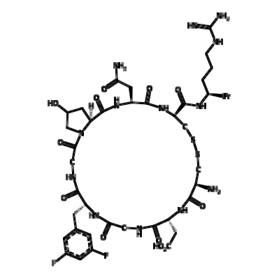 CC(C)[C@H](CCCNC(=N)N)NC(=O)[C@H]1CSSC[C@@H](N)C(=O)N[C@H](CC(=O)O)C(=O)NCC(=O)N[C@H](Cc2cc(F)cc(F)c2)C(=O)NCC(=O)N2CC(O)C[C@H]2C(=O)N[C@@H](CC(N)=O)C(=O)N1